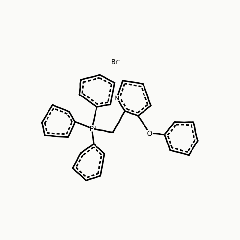 [Br-].c1ccc(Oc2cccnc2C[P+](c2ccccc2)(c2ccccc2)c2ccccc2)cc1